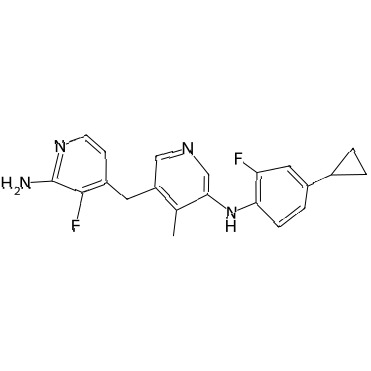 Cc1c(Cc2ccnc(N)c2F)cncc1Nc1ccc(C2CC2)cc1F